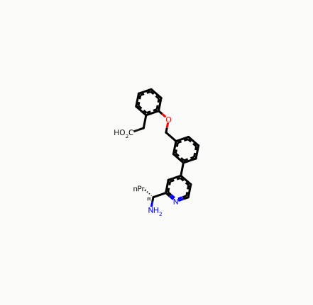 CCC[C@@H](N)c1cc(-c2cccc(COc3ccccc3CC(=O)O)c2)ccn1